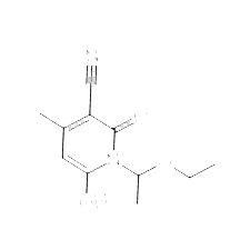 CCOC(C)n1c(O)cc(C)c(C#N)c1=O